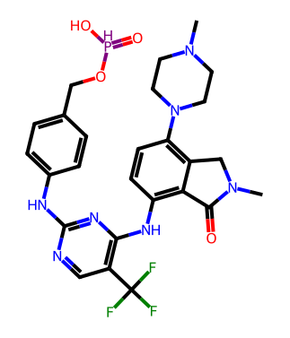 CN1CCN(c2ccc(Nc3nc(Nc4ccc(CO[PH](=O)O)cc4)ncc3C(F)(F)F)c3c2CN(C)C3=O)CC1